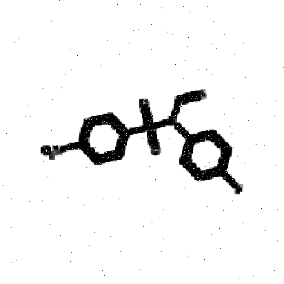 O=[N+]([O-])c1ccc(S(=O)(=O)N([C]=S)c2ccc(F)cc2)cc1